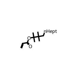 C=CC(=O)OC(C)(C)C(C)(C)CCCCCCCC